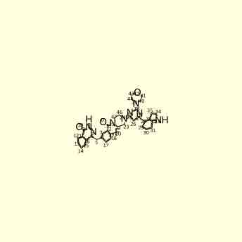 O=C(c1cc(Cc2n[nH]c(=O)c3ccccc23)ccc1F)N1CCN(c2cc(-c3cccc4[nH]ccc34)nc(N3CCOCC3)n2)CC1